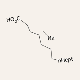 CCCCCCCCCCCCCC(=O)O.[CH3][Na]